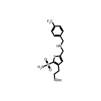 CCCCCCCCCCCCc1cc(CNCc2ccc(C(F)(F)F)cc2)sc1S(N)(=O)=O